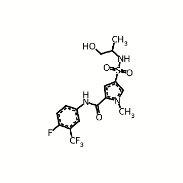 CC(CO)NS(=O)(=O)c1cc(C(=O)Nc2ccc(F)c(C(F)(F)F)c2)n(C)c1